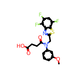 COc1cccc(N(Cc2nc3c(F)c(F)cc(F)c3s2)C(=O)CCC(=O)O)c1